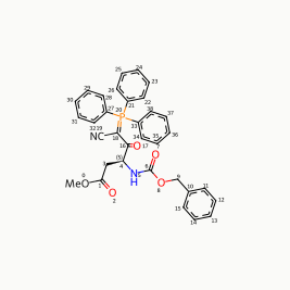 COC(=O)C[C@H](NC(=O)OCc1ccccc1)C(=O)C(C#N)=P(c1ccccc1)(c1ccccc1)c1ccccc1